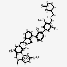 CCc1nc(Cn2ncc3c(-c4cccc(-c5cc(F)c(CNCC6CCCC(=O)N6)c(OC)c5)c4Cl)cccc32)c(Cl)cc1CN(C)C12CCC(C(=O)O)(CC1)CC2